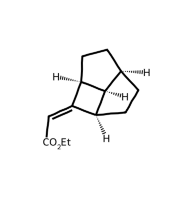 CCOC(=O)C=C1[C@H]2CC[C@H]3CC[C@@H]1[C@H]32